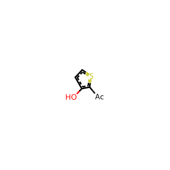 CC(=O)c1sccc1O